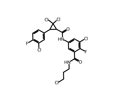 O=C(NCCCCl)c1cc(NC(=O)C2C(c3ccc(F)c(Cl)c3)C2(Cl)Cl)cc(Cl)c1F